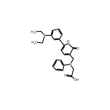 CCN(CC)c1cccc(-c2ccc(CN(CC(=O)O)c3ccccc3)c(=O)[nH]2)c1